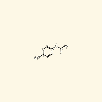 CC(=O)C(C)Oc1ccc(N)cc1